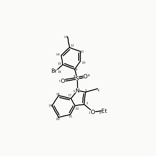 [CH2]COc1c(C)n(S(=O)(=O)c2ccc(C)cc2Br)c2ccccc12